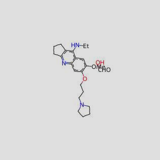 CCNc1c2c(nc3cc(OCCCN4CCCC4)c(OC)cc13)CCC2.O=CO